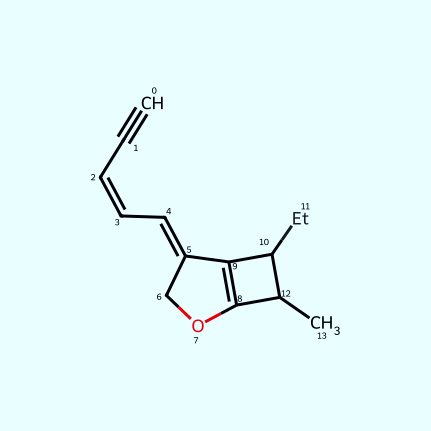 C#C/C=C\C=C1/COC2=C1C(CC)C2C